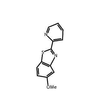 COc1ccc2sc(-c3ccccn3)nc2c1